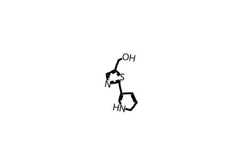 OCc1cnc(C2=CNCC=C2)s1